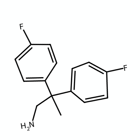 CC(CN)(c1ccc(F)cc1)c1ccc(F)cc1